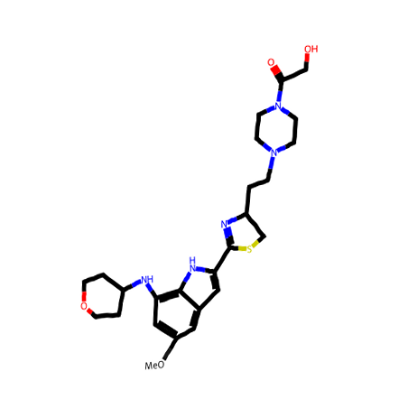 COc1cc(NC2CCOCC2)c2[nH]c(C3=NC(CCN4CCN(C(=O)CO)CC4)CS3)cc2c1